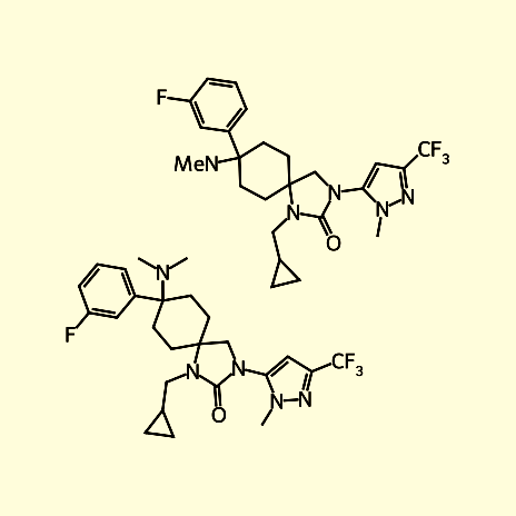 CN(C)C1(c2cccc(F)c2)CCC2(CC1)CN(c1cc(C(F)(F)F)nn1C)C(=O)N2CC1CC1.CNC1(c2cccc(F)c2)CCC2(CC1)CN(c1cc(C(F)(F)F)nn1C)C(=O)N2CC1CC1